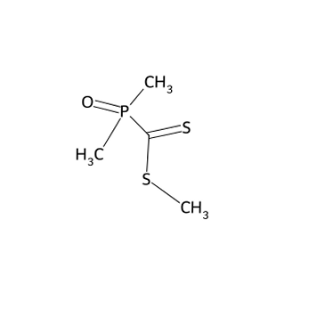 CSC(=S)P(C)(C)=O